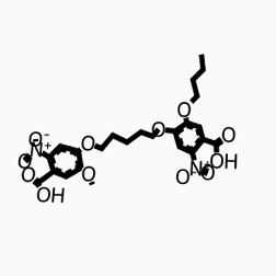 CCCCOc1cc(C(=O)O)c([N+](=O)[O-])cc1OCCCCCOc1cc([N+](=O)[O-])c(C(=O)O)cc1OC